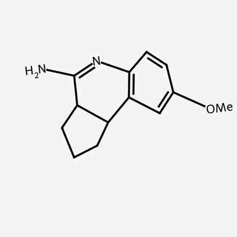 COc1ccc2c(c1)C1CCCC1C(N)=N2